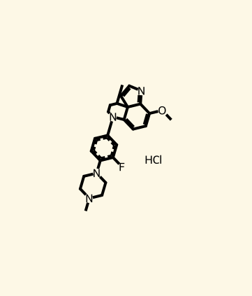 COC1=CC=C2N(c3ccc(N4CCN(C)CC4)c(F)c3)CCC(C)C23C=CN=C13.Cl